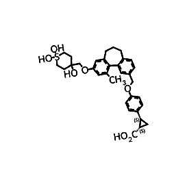 Cc1cc(OCC2(O)CCS(O)(O)CC2)cc2c1-c1cc(COc3ccc([C@H]4C[C@@H]4C(=O)O)cc3)ccc1CCC2